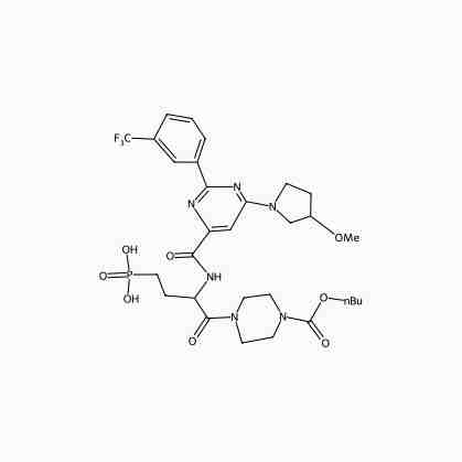 CCCCOC(=O)N1CCN(C(=O)C(CCP(=O)(O)O)NC(=O)c2cc(N3CCC(OC)C3)nc(-c3cccc(C(F)(F)F)c3)n2)CC1